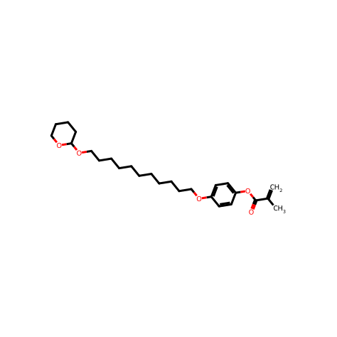 C=C(C)C(=O)Oc1ccc(OCCCCCCCCCCCOC2CCCCO2)cc1